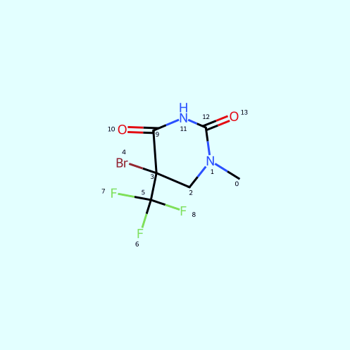 CN1CC(Br)(C(F)(F)F)C(=O)NC1=O